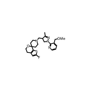 COCc1cccnc1N1CC(CN2CCC3(CC2)OCCc2cc(F)sc23)C(C)=N1